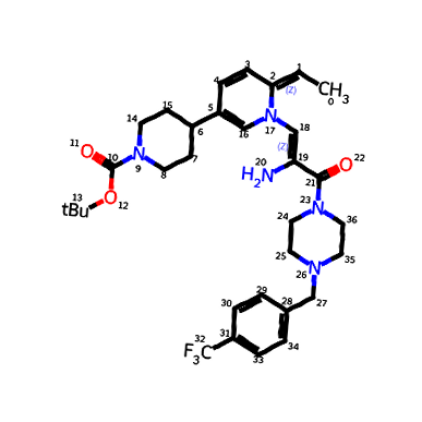 C/C=C1/C=CC(C2CCN(C(=O)OC(C)(C)C)CC2)=CN1/C=C(\N)C(=O)N1CCN(Cc2ccc(C(F)(F)F)cc2)CC1